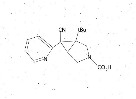 CC(C)(C)C12CN(C(=O)O)CC1C2(C#N)c1ccccn1